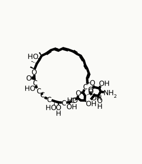 CC1OC(O[C@H]2/C=C/C=C/C=C/C=C/C=C/C=C/C=C/[C@H](C)[C@@H](O)[C@@H](C)[C@H](C)OC(=O)C[C@H](O)CCCC[C@@H](O)[C@H](O)C[C@H](O)C[C@]3(O)C[C@H](O)[C@@H](C(=O)O)C(C2)O3)C(O)C(N)C1O